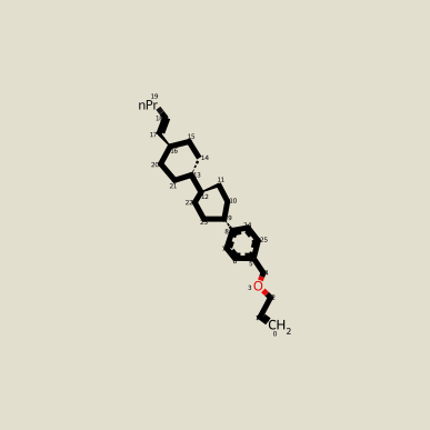 C=CCOCc1ccc([C@H]2CC[C@H]([C@H]3CC[C@H](C=CCCC)CC3)CC2)cc1